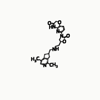 Cc1cnc(C)c2c1CC(CNCCC1CN(c3ccc4c(n3)NC(=O)CO4)C(=O)O1)C2